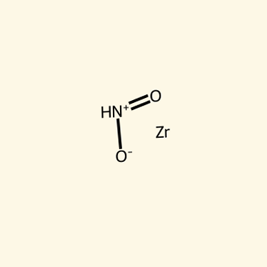 O=[NH+][O-].[Zr]